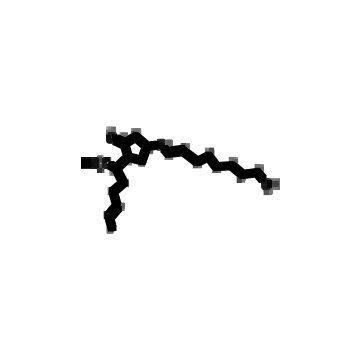 CC=CCCC(C(=O)O)C1CC(SC=CCCCCCCO)CC1=O